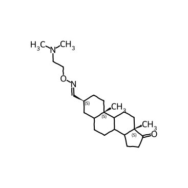 CN(C)CCON=C[C@H]1CC[C@@]2(C)C(CCC3C2CC[C@]2(C)C(=O)CCC32)C1